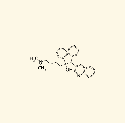 CN(C)CCCCC(O)(c1ccccc1)C(c1ccccc1)c1cnc2ccccc2c1